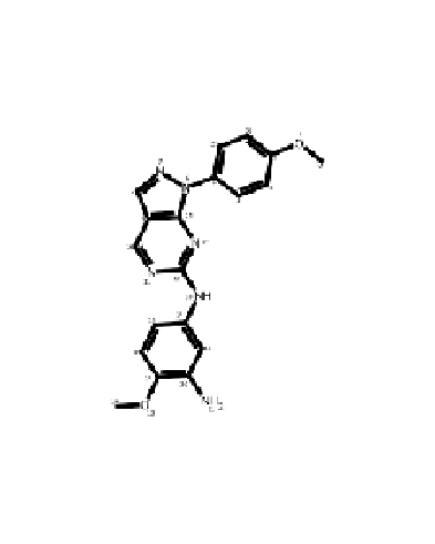 COc1ccc(-n2ncc3cnc(Nc4ccc(OC)c(N)c4)nc32)cc1